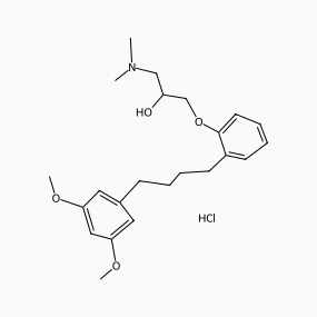 COc1cc(CCCCc2ccccc2OCC(O)CN(C)C)cc(OC)c1.Cl